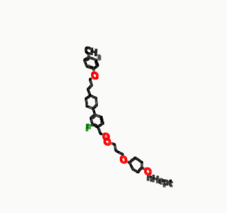 [CH2+][CH-]CCCCCOC1CCC(OCCCOOCc2ccc(C3CCC(CCCOc4ccc(C)cc4)CC3)cc2F)CC1